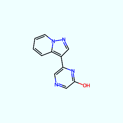 Oc1cncc(-c2cnn3ccccc23)n1